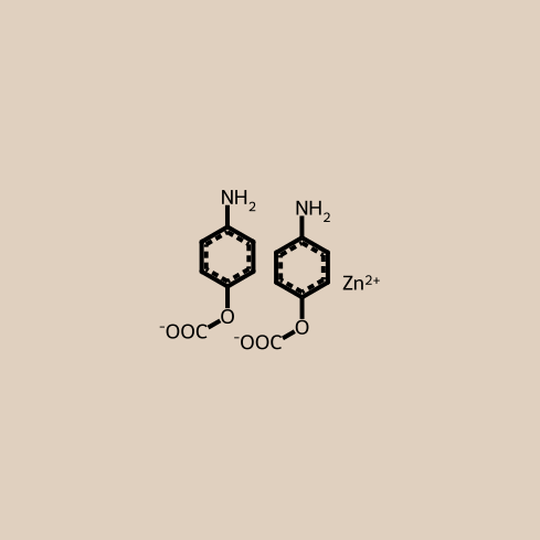 Nc1ccc(OC(=O)[O-])cc1.Nc1ccc(OC(=O)[O-])cc1.[Zn+2]